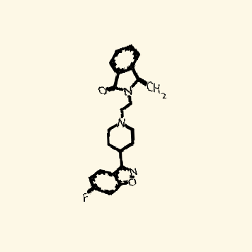 C=C1c2ccccc2C(=O)N1CCN1CCC(c2noc3cc(F)ccc23)CC1